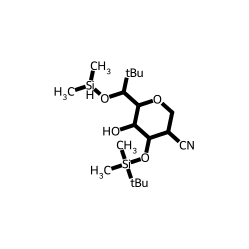 C[SiH](C)OC(C1OCC(C#N)C(O[Si](C)(C)C(C)(C)C)C1O)C(C)(C)C